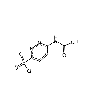 O=C(O)Nc1ccc(S(=O)(=O)Cl)nn1